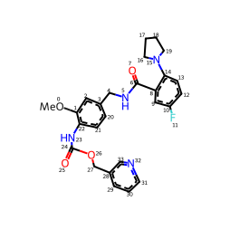 COc1cc(CNC(=O)c2cc(F)ccc2N2CCCC2)ccc1NC(=O)OCc1cccnc1